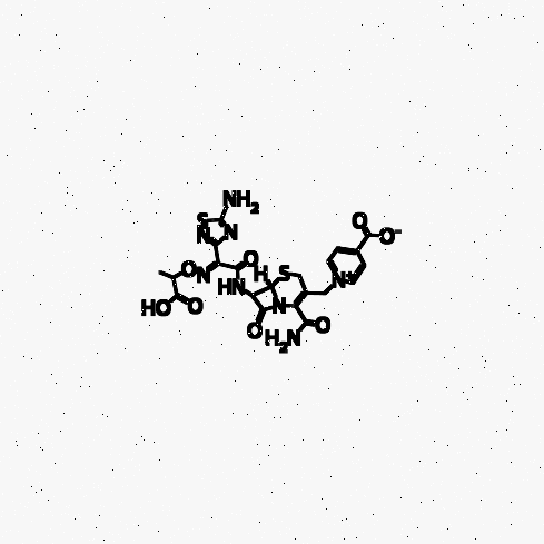 CC(ON=C(C(=O)NC1C(=O)N2C(C(N)=O)=C(C[n+]3ccc(C(=O)[O-])cc3)CS[C@@H]12)c1nsc(N)n1)C(=O)O